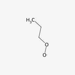 CCCO[O]